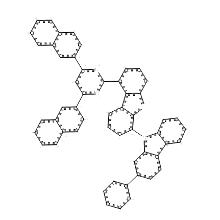 c1ccc(-c2ccc3c4ccccc4n(-c4cccc5c4oc4cccc(-c6nc(-c7ccc8ccccc8c7)cc(-c7ccc8ccccc8c7)n6)c45)c3c2)cc1